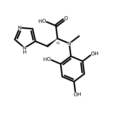 CN(c1c(O)cc(O)cc1O)[C@@H](Cc1cnc[nH]1)C(=O)O